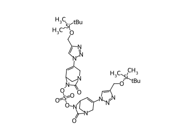 CC(C)(C)[Si](C)(C)OCc1cn(C2=CC3CN(C2)C(=O)N3OS(=O)(=O)ON2C(=O)N3CC(n4cc(CO[Si](C)(C)C(C)(C)C)nn4)=CC2C3)nn1